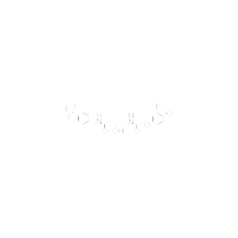 O=C(COc1ccc(Cl)c(F)c1)NCCC(O)CC(=O)NCc1ccc(C(F)(F)F)cc1